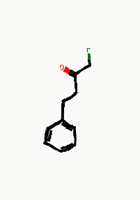 O=C([CH]Cc1ccccc1)CF